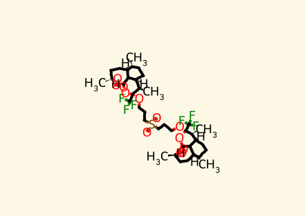 C[C@@H]1CC[C@H]2[C@@H](C)[C@](OCCCS(=O)(=O)CCCO[C@@]3(C(F)(F)F)O[C@@H]4O[C@]5(C)CC[C@H]6[C@H](C)CC[C@@H]([C@H]3C)[C@@]46OO5)(C(F)(F)F)O[C@@H]3O[C@]4(C)CC[C@@H]1[C@]32OO4